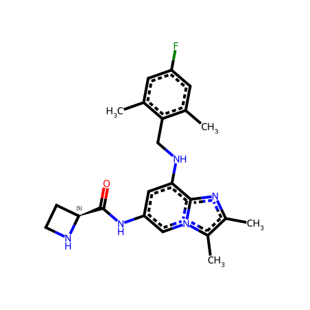 Cc1cc(F)cc(C)c1CNc1cc(NC(=O)[C@@H]2CCN2)cn2c(C)c(C)nc12